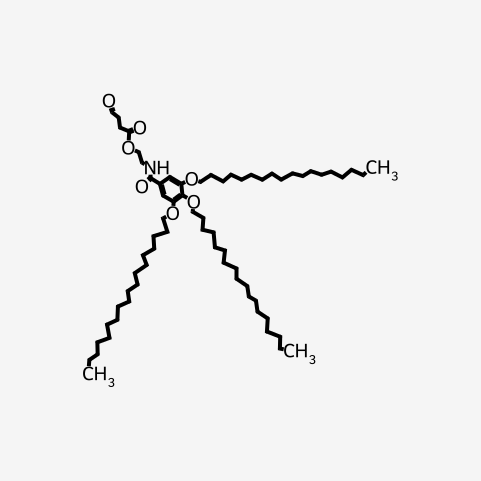 CCCCCCCCCCCCCCCCCCOc1cc(C(=O)NCCOC(=O)CCC=O)cc(OCCCCCCCCCCCCCCCCCC)c1OCCCCCCCCCCCCCCCCCC